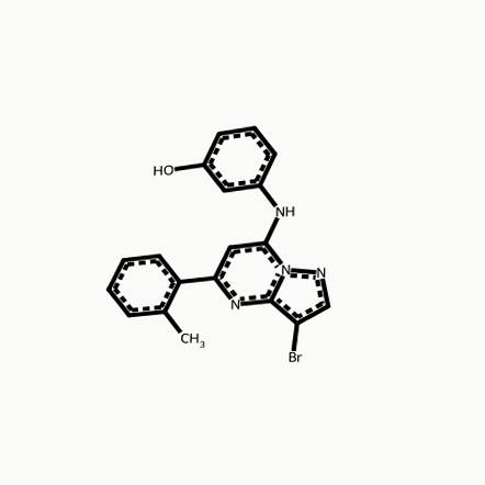 Cc1ccccc1-c1cc(Nc2cccc(O)c2)n2ncc(Br)c2n1